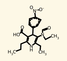 CCCC1=C(C(=O)O)C(c2ccc([N+](=O)[O-])cc2)C(N(C=O)CC)=C(CC)N1